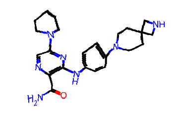 NC(=O)c1ncc(N2CCCCC2)nc1Nc1ccc(N2CCC3(CC2)CNC3)cc1